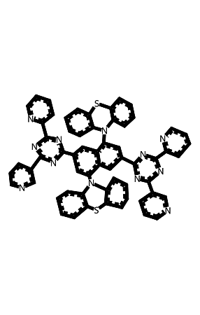 c1ccc(-c2nc(-c3cccnc3)nc(-c3cc(N4c5ccccc5Sc5ccccc54)c4cc(-c5nc(-c6cccnc6)nc(-c6ccccn6)n5)cc(N5c6ccccc6Sc6ccccc65)c4c3)n2)nc1